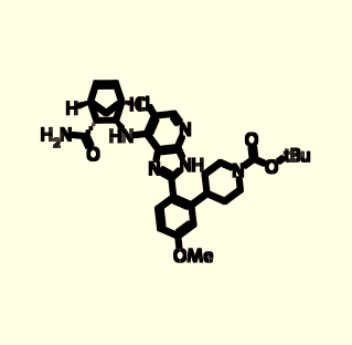 COc1ccc(-c2nc3c(N[C@H]4[C@H](C(N)=O)[C@@H]5C=C[C@@H]4C5)c(Cl)cnc3[nH]2)c(C2CCN(C(=O)OC(C)(C)C)CC2)c1